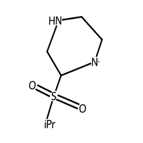 CC(C)S(=O)(=O)C1CNCC[N]1